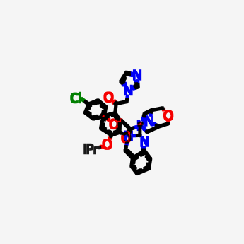 CC(C)Oc1ccc(C(=O)Cn2ccnc2)cc1N1C=c2ccccc2=NC1CN1C2COCC1CN(C(=O)COc1ccc(Cl)cc1)C2